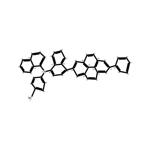 N#Cc1ccc(N(c2cccc3ccccc23)c2ccc(-c3cc4ccc5cc(-c6ccccc6)cc6ccc(c3)c4c56)c3ccccc23)cc1